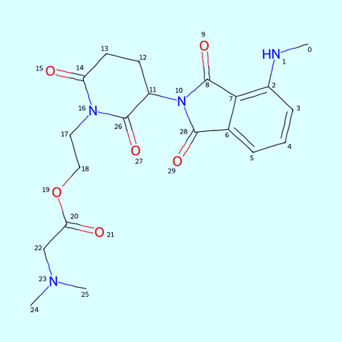 CNc1cccc2c1C(=O)N(C1CCC(=O)N(CCOC(=O)CN(C)C)C1=O)C2=O